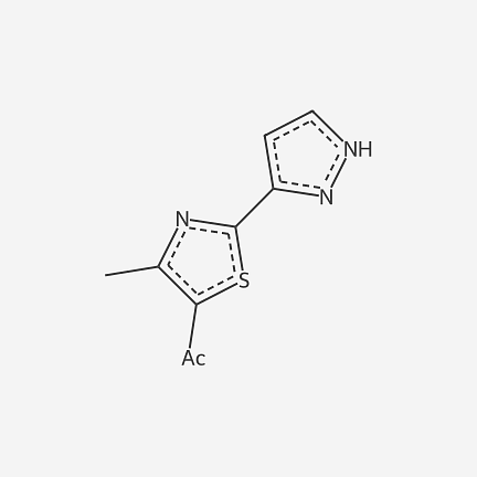 CC(=O)c1sc(-c2cc[nH]n2)nc1C